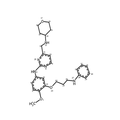 COc1ccc(Nc2nccc(CNC3CCOCC3)n2)cc1OCCCNc1ccccc1